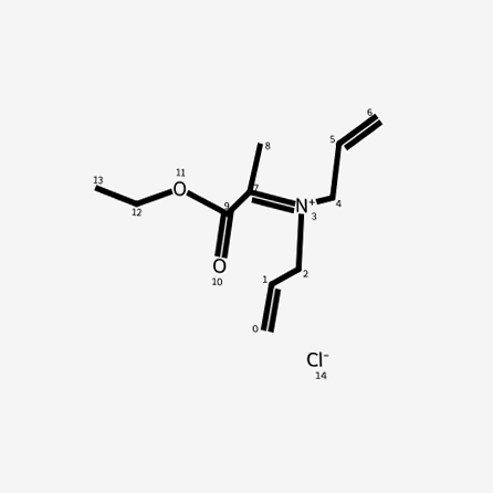 C=CC[N+](CC=C)=C(C)C(=O)OCC.[Cl-]